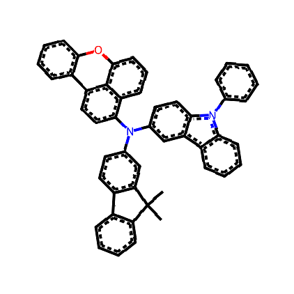 CC1(C)c2ccccc2-c2ccc(N(c3ccc4c(c3)c3ccccc3n4-c3ccccc3)c3ccc4c5c(cccc35)Oc3ccccc3-4)cc21